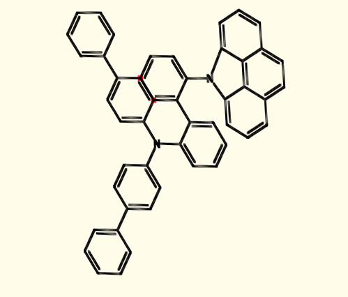 c1ccc(-c2ccc(N(c3ccc(-c4ccccc4)cc3)c3ccccc3-c3ccccc3-n3c4cccc5ccc6cccc3c6c54)cc2)cc1